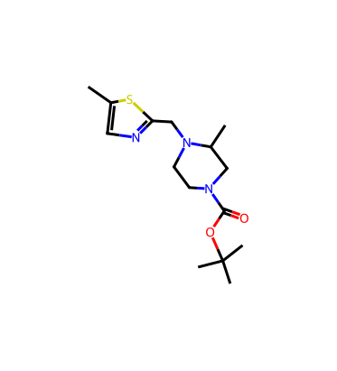 Cc1cnc(CN2CCN(C(=O)OC(C)(C)C)CC2C)s1